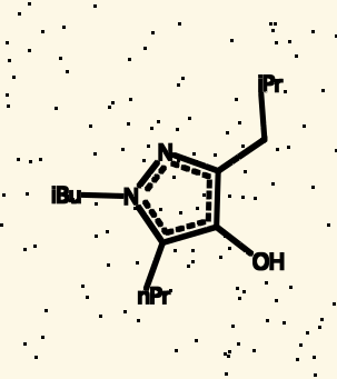 CCCc1c(O)c(CC(C)C)nn1C(C)CC